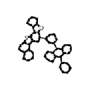 c1ccc(-c2c3ccccc3c(-c3cccc(-c4cc5c(sc6ccc7ccccc7c65)c5c4oc4ccccc45)c3)c3ccccc23)cc1